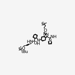 CC(C)(C)[Si](C)(C)OCC#CCNC(=O)c1ccccc1Nc1ccc2c(C(=N)n3cccc3)nn(COCC[Si](C)(C)C)c2c1